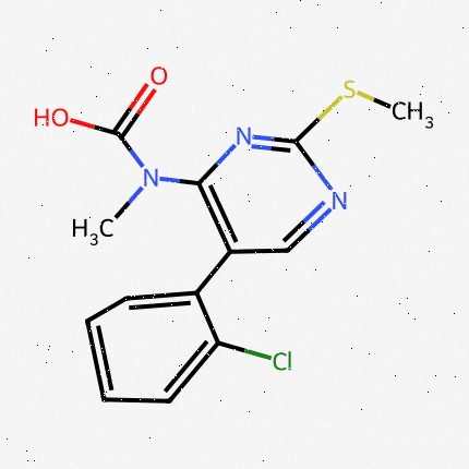 CSc1ncc(-c2ccccc2Cl)c(N(C)C(=O)O)n1